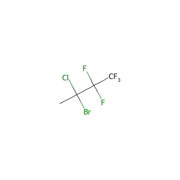 CC(Cl)(Br)C(F)(F)C(F)(F)F